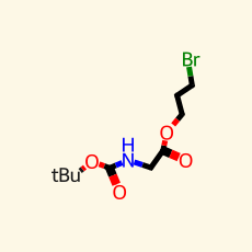 CC(C)(C)OC(=O)NCC(=O)OCCCBr